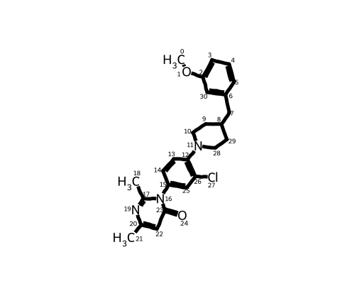 COc1cccc(CC2CCN(c3ccc(-n4c(C)nc(C)cc4=O)cc3Cl)CC2)c1